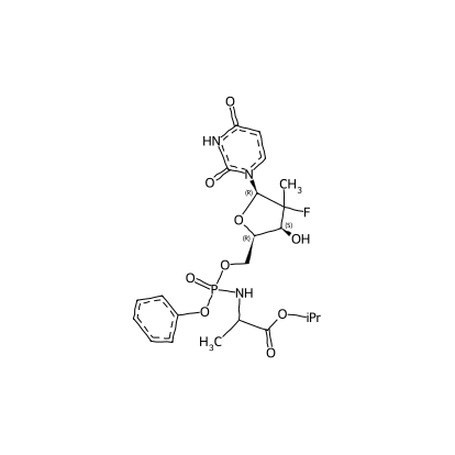 CC(C)OC(=O)C(C)NP(=O)(OC[C@H]1O[C@@H](n2ccc(=O)[nH]c2=O)C(C)(F)[C@H]1O)Oc1ccccc1